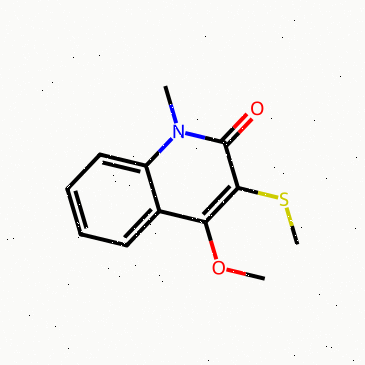 COc1c(SC)c(=O)n(C)c2ccccc12